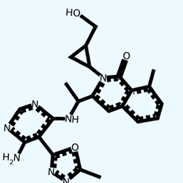 Cc1nnc(-c2c(N)ncnc2NC(C)c2cc3cccc(C)c3c(=O)n2C2CC2CO)o1